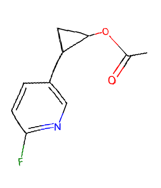 CC(=O)OC1CC1c1ccc(F)nc1